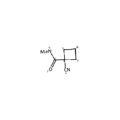 CNC(=O)C1(C#N)CCC1